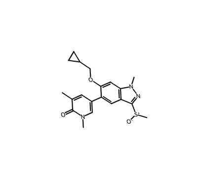 Cc1cc(-c2cc3c([S+](C)[O-])nn(C)c3cc2OCC2CC2)cn(C)c1=O